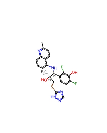 Cc1ccc2c(N[C@H](c3ccc(F)c(O)c3F)[C@](O)(CSc3ncn[nH]3)C(F)(F)F)cccc2n1